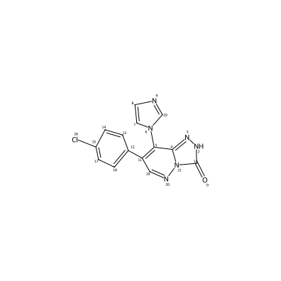 O=c1[nH]nc2c(-n3ccnc3)c(-c3ccc(Cl)cc3)cnn12